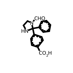 O=CN1CCNC1(c1ccccc1)c1ccc(C(=O)O)cc1